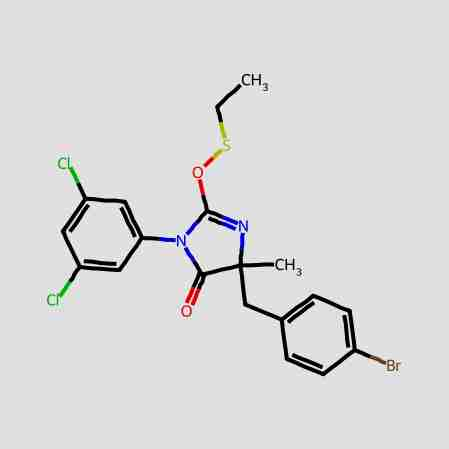 CCSOC1=NC(C)(Cc2ccc(Br)cc2)C(=O)N1c1cc(Cl)cc(Cl)c1